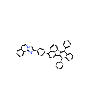 c1ccc(-c2c3c(c(-c4ccccc4)c4ccccc24)-c2ccc(-c4ccc(-c5cn6ccc7ccccc7c6n5)cc4)c4cccc-3c24)cc1